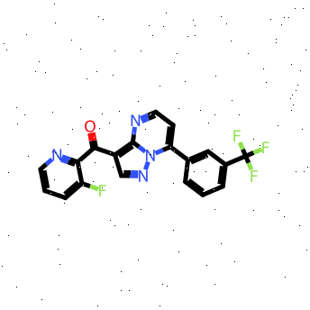 O=C(c1ncccc1F)c1cnn2c(-c3cccc(C(F)(F)F)c3)ccnc12